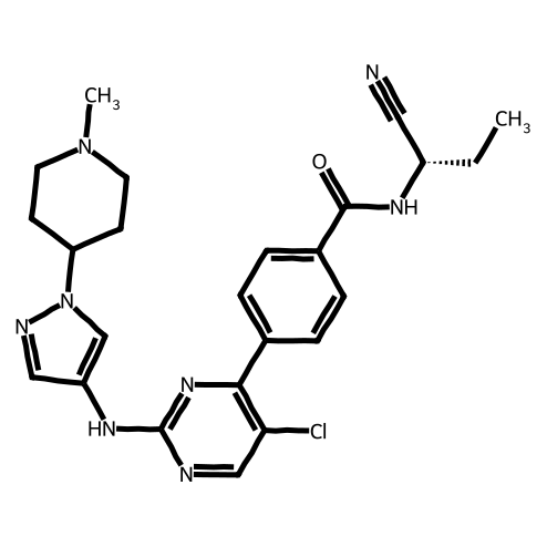 CC[C@@H](C#N)NC(=O)c1ccc(-c2nc(Nc3cnn(C4CCN(C)CC4)c3)ncc2Cl)cc1